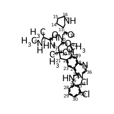 CN[C@@H](C)C(=O)N[C@H](C(=O)NC(=O)[C@@H]1CCCN1)C(C)(C)Cc1cc2c(Nc3cccc(Cl)c3Cl)ncnc2cc1OC